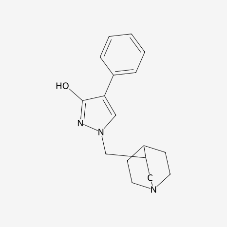 Oc1nn(CC2CN3CCC2CC3)cc1-c1ccccc1